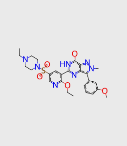 CCOc1ncc(S(=O)(=O)N2CCN(CC)CC2)cc1-c1nc2c(-c3cccc(OC)c3)n(C)nc2c(=O)[nH]1